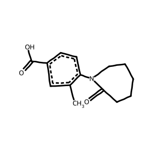 Cc1cc(C(=O)O)ccc1N1CCCCCC1=O